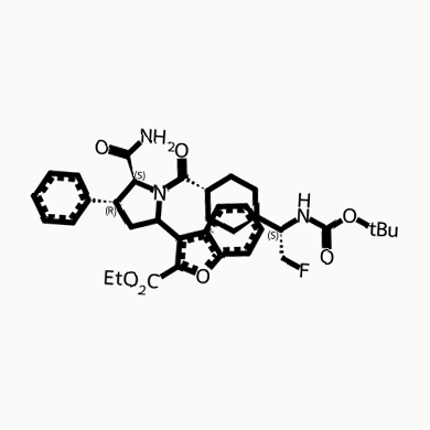 CCOC(=O)c1oc2ccccc2c1C1C[C@H](c2ccccc2)[C@@H](C(N)=O)N1C(=O)[C@H]1CC[C@H]([C@@H](CF)NC(=O)OC(C)(C)C)CC1